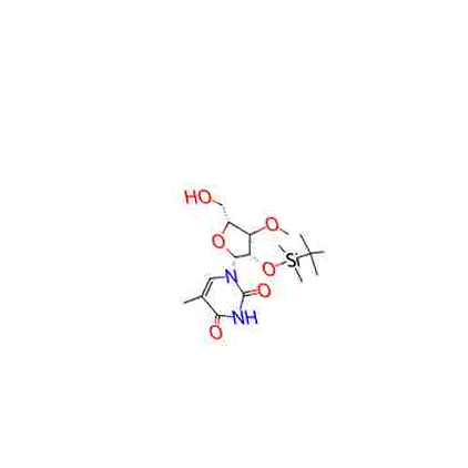 COC1[C@@H](CO)O[C@@H](n2cc(C)c(=O)[nH]c2=O)[C@H]1O[Si](C)(C)C(C)(C)C